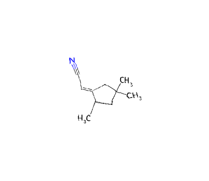 CC1CC(C)(C)C/C1=C\C#N